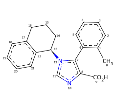 Cc1ccccc1-c1c(C(=O)O)ncn1[C@@H]1CCCc2ccccc21